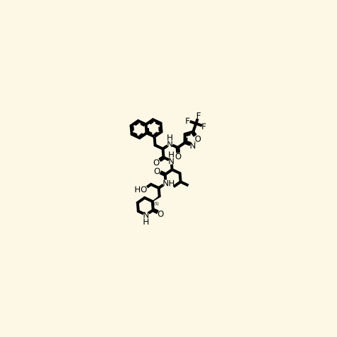 CC(C)CC(NC(=O)C(Cc1cccc2ccccc12)NC(=O)c1cc(C(F)(F)F)on1)C(=O)NC(CO)C[C@@H]1CCCNC1=O